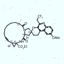 CCOC(=O)[C@@]12C[C@H]1/C=C\CCCCC[C@H](C)C(=O)N1C[C@@]3(CCc4c(c(CC(F)(F)F)nc5ccc(OC)cc45)O3)C[C@H]1C(=O)N2